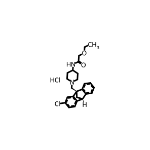 CCOCC(=O)NC1CCN(C[C@]23C[C@@H](c4ccccc42)c2ccc(Cl)cc23)CC1.Cl